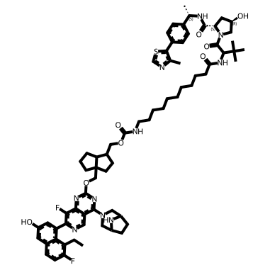 CCc1c(F)ccc2cc(O)cc(-c3ncc4c(N5CC6CCC(C5)N6)nc(OCC56CCCC5C(COC(=O)NCCCCCCCCCCC(=O)NC(C(=O)N5C[C@H](O)C[C@H]5C(=O)N[C@@H](C)c5ccc(-c7scnc7C)cc5)C(C)(C)C)CC6)nc4c3F)c12